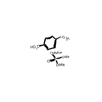 COP(=O)(OC)OC.O=C(O)c1ccc(C(=O)O)cc1